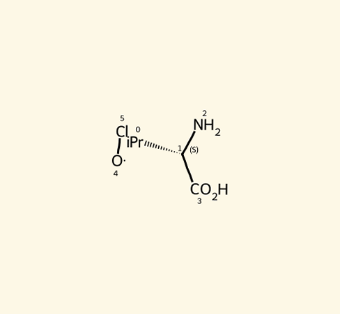 CC(C)[C@H](N)C(=O)O.[O]Cl